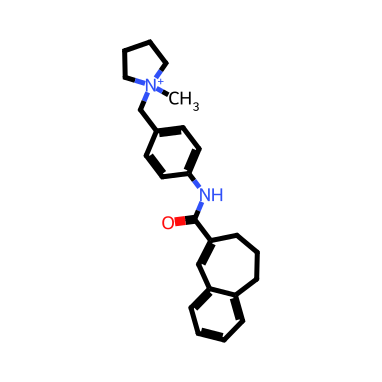 C[N+]1(Cc2ccc(NC(=O)C3=Cc4ccccc4CCC3)cc2)CCCC1